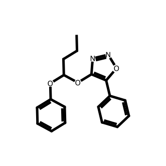 CCCC(Oc1ccccc1)Oc1nnoc1-c1ccccc1